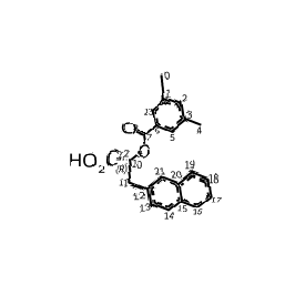 Cc1cc(C)cc(C(=O)O[C@H](Cc2ccc3ccccc3c2)C(=O)O)c1